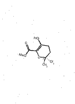 COC(=O)C1=C(O)CC[C@](C)(C(F)(F)F)O1